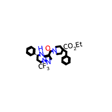 CCOC(=O)C1(Cc2ccccc2)CCN(C(=O)c2cnn3c2N[C@@H](c2ccccc2)C[C@H]3C(F)(F)F)CC1